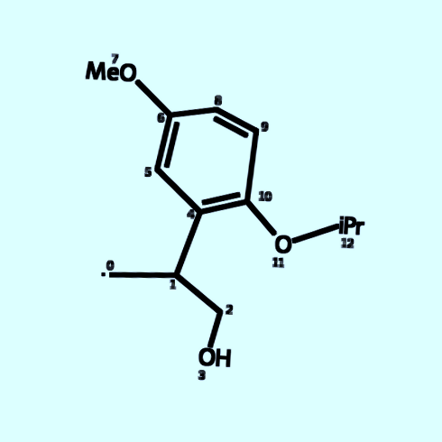 [CH2]C(CO)c1cc(OC)ccc1OC(C)C